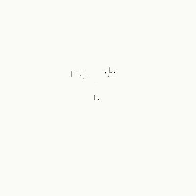 N=C(N)N(c1ccc2cccc3c2c1C(Br)=C3)c1ccc2cccc3c2c1C(Br)=C3